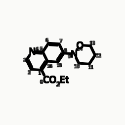 CCOC(=O)c1ccnc2ccc(N3CCCCO3)cc12